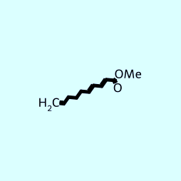 C=CCCCC=CC=CC(=O)OC